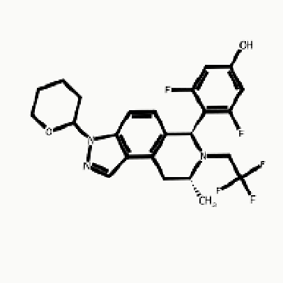 C[C@@H]1Cc2c(ccc3c2cnn3C2CCCCO2)[C@@H](c2c(F)cc(O)cc2F)N1CC(F)(F)F